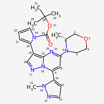 C[C@@H]1COCCN1c1cc(-c2ccnn2C)n2ncc(-c3cccn3C(=O)OC(C)(C)C)c2n1